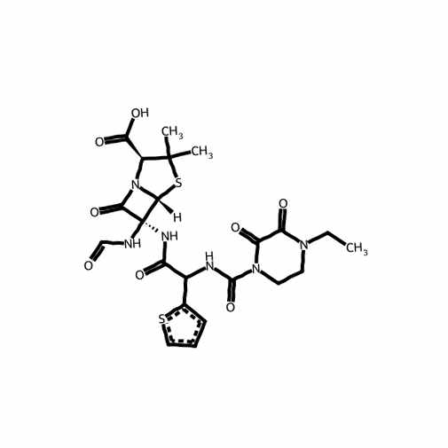 CCN1CCN(C(=O)NC(C(=O)N[C@]2(NC=O)C(=O)N3[C@@H](C(=O)O)C(C)(C)S[C@@H]32)c2cccs2)C(=O)C1=O